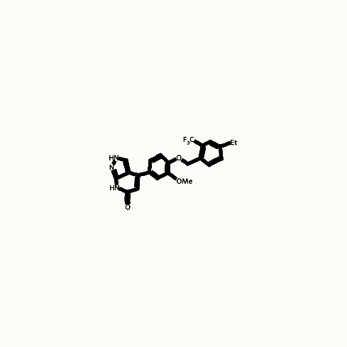 CCc1ccc(COc2ccc(-c3cc(=O)[nH]c4n[nH]cc34)cc2OC)c(C(F)(F)F)c1